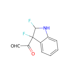 O=CC(=O)C1(F)c2ccccc2NC1F